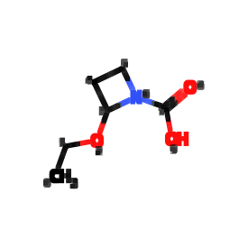 CCOC1CCN1C(=O)O